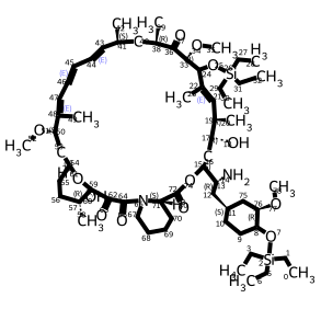 CC[Si](CC)(CC)OC1CC[C@@H](C[C@@H](N)[C@@H]2C[C@@H](O)[C@H](C)/C=C(\C)C(O[Si](CC)(CC)CC)[C@@H](OC)C(=O)[C@H](C)C[C@H](C)/C=C/C=C/C=C(\C)[C@@H](OC)C[C@@H]3CC[C@@H](C)[C@@](O)(O3)C(=O)C(=O)N3CCCC[C@H]3C(=O)O2)C[C@H]1OC